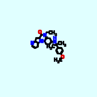 CCN(C(=O)c1cc2ncccc2[nH]1)[C@H]1CCC[C@@H](NC(C)(C)c2ccc(OC)cc2)C1